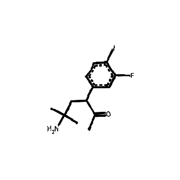 CC(=O)C(CC(C)(C)N)c1ccc(I)c(F)c1